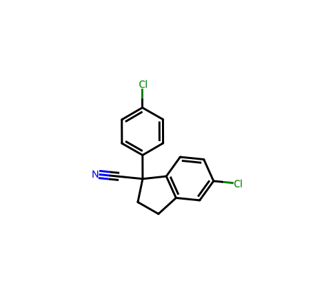 N#CC1(c2ccc(Cl)cc2)CCc2cc(Cl)ccc21